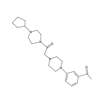 CC(=O)c1cccc(N2CCN(CC(=O)N3CCN(C4CCCC4)CC3)CC2)c1